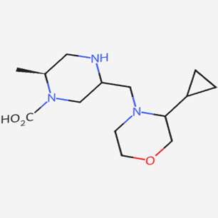 C[C@H]1CNC(CN2CCOCC2C2CC2)CN1C(=O)O